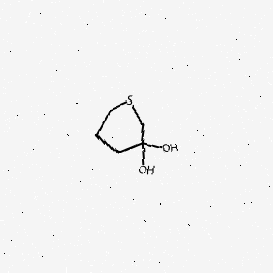 OC1(O)CCCSC1